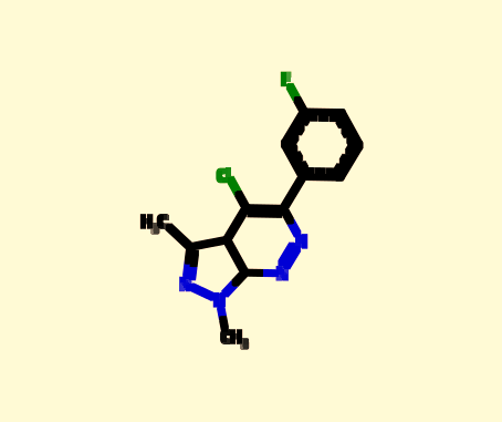 CC1=NN(C)C2N=NC(c3cccc(F)c3)=C(Cl)C12